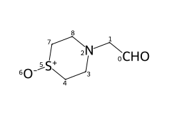 O=CCN1CC[S+]([O-])CC1